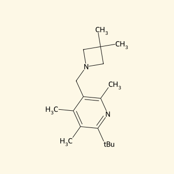 Cc1nc(C(C)(C)C)c(C)c(C)c1CN1CC(C)(C)C1